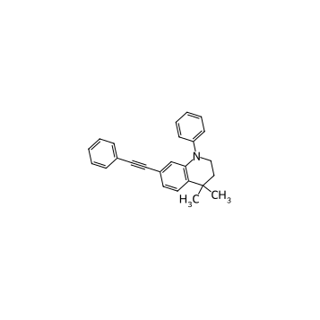 CC1(C)CCN(c2ccccc2)c2cc(C#Cc3ccccc3)ccc21